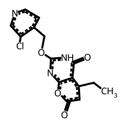 CCc1cc(=O)oc2nc(OCc3ccncc3Cl)[nH]c(=O)c12